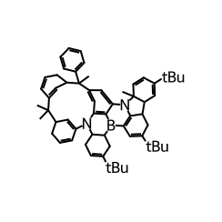 CC(C)(C)C1=CC2C3CC(C(C)(C)C)=CC4=C3N(c3cc5cc6c3B4C3CC(C(C)(C)C)=CCC3N6C3=CC(CC=C3)C(C)(C)C3=CC(CC=C3)C5(C)c3ccccc3)C2(C)C=C1